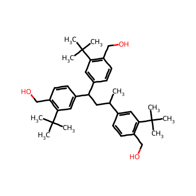 CC(CC(c1ccc(CO)c(C(C)(C)C)c1)c1ccc(CO)c(C(C)(C)C)c1)c1ccc(CO)c(C(C)(C)C)c1